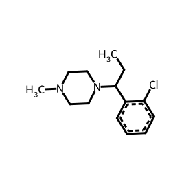 CCC(c1ccccc1Cl)N1CCN(C)CC1